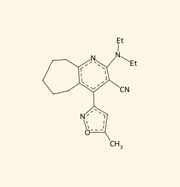 CCN(CC)c1nc2c(c(-c3cc(C)on3)c1C#N)CCCCC2